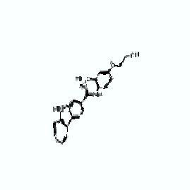 Cc1cc(OCCO)ccc1NC(=O)c1ccc2c(c1)[nH]c1cnccc12